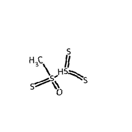 CS(=O)(=S)[SH](=S)=S